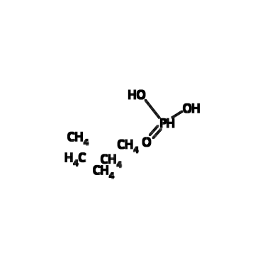 C.C.C.C.C.O=[PH](O)O